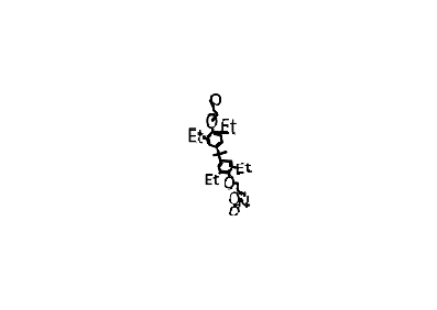 CCc1cc(C(C)(C)c2cc(CC)c(OCC3CN(C)C(=O)O3)c(CC)c2)cc(CC)c1OCC1CO1